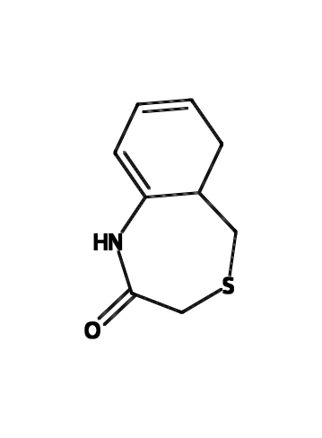 O=C1CSCC2CC=CC=C2N1